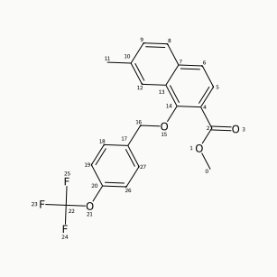 COC(=O)c1ccc2ccc(C)cc2c1OCc1ccc(OC(F)(F)F)cc1